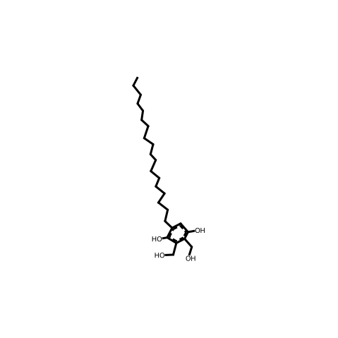 CCCCCCCCCCCCCCCCCCc1cc(O)c(CO)c(CO)c1O